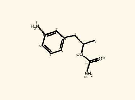 CC(Cc1cccc(N)c1)OC(N)=O